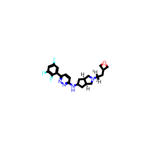 [2H]C([2H])(CC1COC1)N1C[C@H]2CC(Nc3ccc(-c4cc(F)cc(F)c4F)nn3)C[C@H]2C1